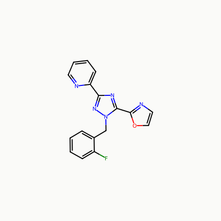 Fc1ccccc1Cn1nc(-c2ccccn2)nc1-c1ncco1